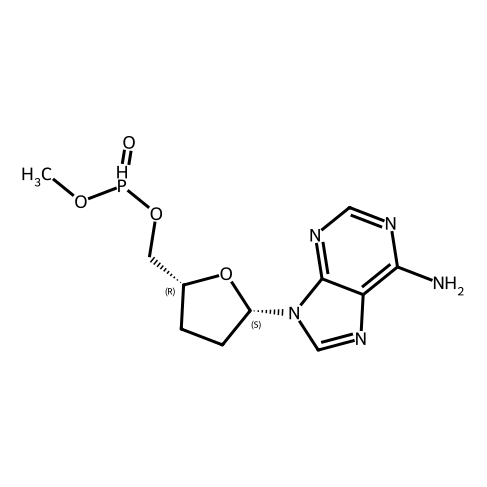 CO[PH](=O)OC[C@H]1CC[C@@H](n2cnc3c(N)ncnc32)O1